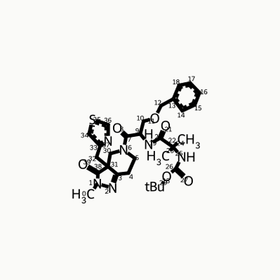 CN1N=C2CCN(C(=O)C(COCc3ccccc3)NC(=O)C(C)(C)NC(=O)OC(C)(C)C)CC2(Cc2cscn2)C1=O